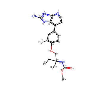 Cc1cc(-c2ccnc3[nH]c(N)nc23)ccc1OCC(C)(CC(C)C)NC(=O)OC(C)(C)C